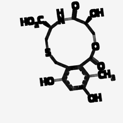 Cc1c(O)cc(O)c2c1C(=O)OC[C@H](O)C(=O)N[C@H](C(=O)O)CSC2